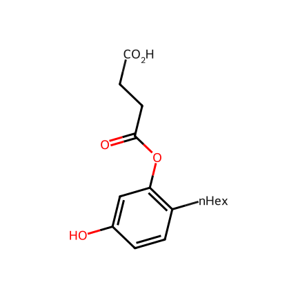 CCCCCCc1ccc(O)cc1OC(=O)CCC(=O)O